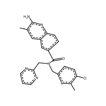 Cc1cc2cc(C(=O)N(Cc3ccc(Cl)c(C)n3)Cc3ncccn3)ccc2nc1N